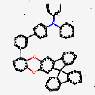 C=C/C(=C\C)N(c1ccccc1)c1ccc(-c2cccc(-c3cccc4c3Oc3cc5c(cc3O4)C3(c4ccccc4-c4ccccc43)c3ccccc3-5)c2)cc1